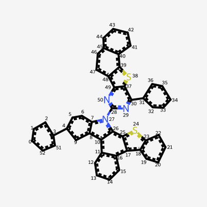 c1ccc(-c2ccc3c(c2)c2c4ccccc4c4c5ccccc5sc4c2n3-c2nc(-c3ccccc3)c3sc4c5ccccc5ccc4c3n2)cc1